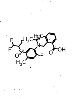 CC(=O)N(Cc1c(C)cccc1C(=O)O)c1cc([S+]([O-])C(F)C(F)F)c(C)cc1F